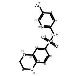 CC(=O)c1ccc(NS(=O)(=O)c2ccc3c(c2)OCCO3)nc1